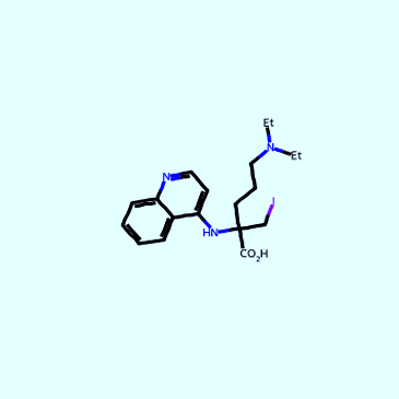 CCN(CC)CCCC(CI)(Nc1ccnc2ccccc12)C(=O)O